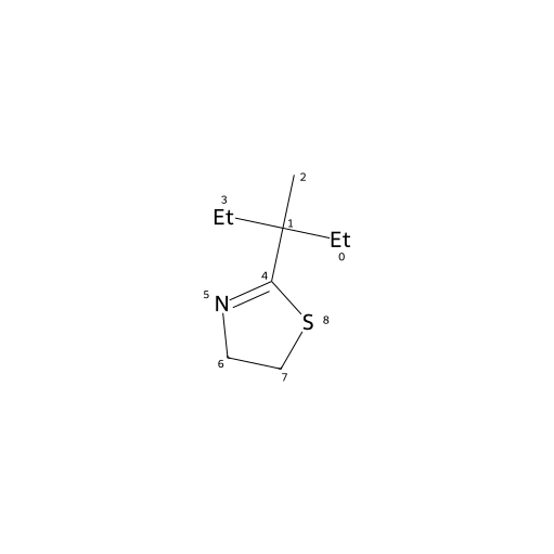 CCC(C)(CC)C1=NCCS1